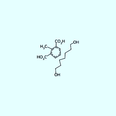 Cc1c(C(=O)O)cccc1C(=O)O.OCCCCCCCO